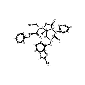 N#CCN(C(=O)NCc1ccccc1)N1CC(=O)N2[C@@H](c3ccccc3)C(=O)N(Cc3cccc4sc(N)nc34)C[C@@H]21